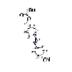 CCC(C)C(=O)OCc1ccc(/N=N/c2ccc(C#N)cc2)cc1